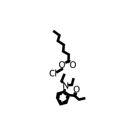 CCC(=O)c1ccccc1N(CC)CC.CCCCCCC(=O)OCCl